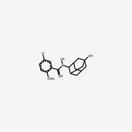 COc1ccc(Cl)cc1C(=N)N(C#N)C1C2CC3CC1CC(O)(C3)C2